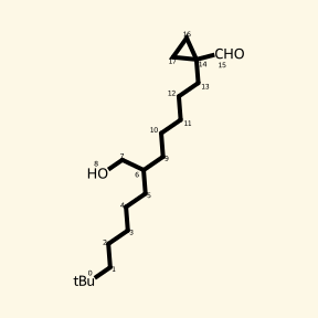 CC(C)(C)CCCCCC(CO)CCCCCC1(C=O)CC1